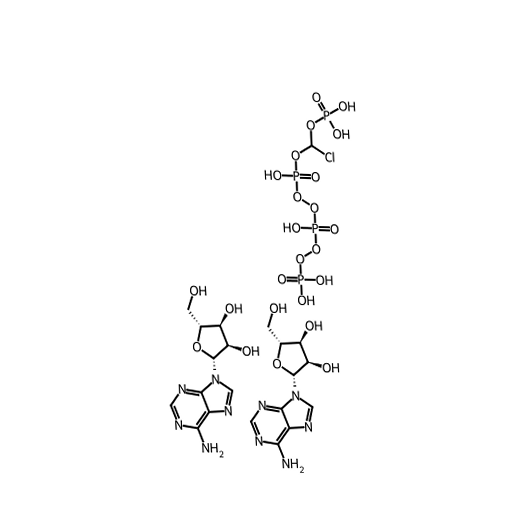 Nc1ncnc2c1ncn2[C@@H]1O[C@H](CO)[C@@H](O)[C@H]1O.Nc1ncnc2c1ncn2[C@@H]1O[C@H](CO)[C@@H](O)[C@H]1O.O=P(O)(O)OOP(=O)(O)OOP(=O)(O)OC(Cl)OP(=O)(O)O